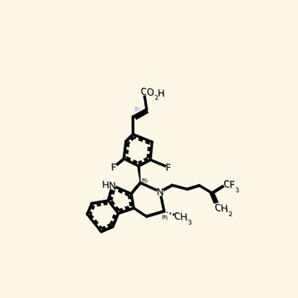 C=C(CCCN1[C@H](c2c(F)cc(/C=C/C(=O)O)cc2F)c2[nH]c3ccccc3c2C[C@H]1C)C(F)(F)F